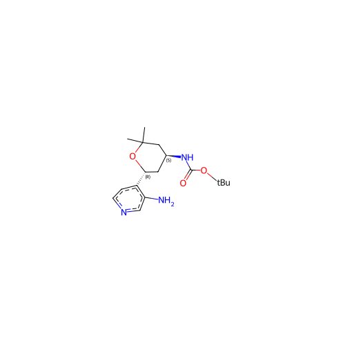 CC(C)(C)OC(=O)N[C@H]1C[C@H](c2ccncc2N)OC(C)(C)C1